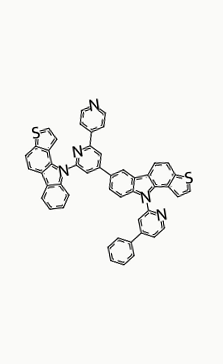 c1ccc(-c2ccnc(-n3c4ccc(-c5cc(-c6ccncc6)nc(-n6c7ccccc7c7ccc8sccc8c76)c5)cc4c4ccc5sccc5c43)c2)cc1